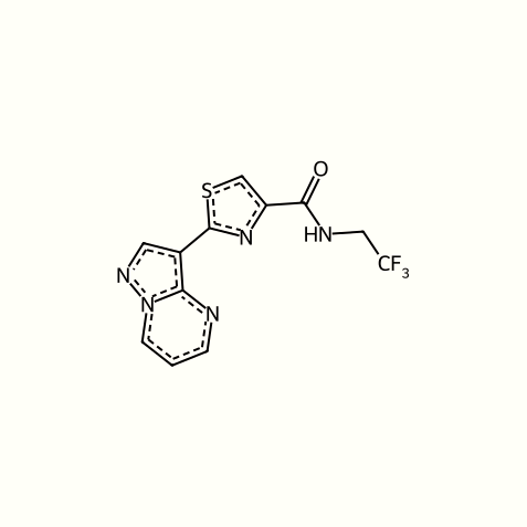 O=C(NCC(F)(F)F)c1csc(-c2cnn3cccnc23)n1